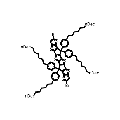 CCCCCCCCCCCCCCCCc1ccc(C2(c3ccc(CCCCCCCCCCCCCCCC)cc3)c3c(sc4cc(Br)sc34)-c3sc4c5c(sc4c32)-c2sc3cc(Br)sc3c2C5(c2ccc(CCCCCCCCCCCCCCCC)cc2)c2ccc(CCCCCCCCCCCCCCCC)cc2)cc1